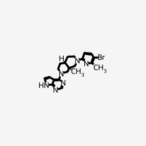 Cc1nc(N2CC[C@H]3CCN(c4ncnc5[nH]ccc45)C[C@@]3(C)C2)ccc1Br